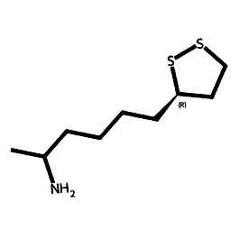 CC(N)CCCC[C@@H]1CCSS1